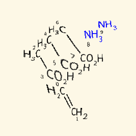 C=C.CC(=O)O.CC(=O)O.CC(=O)O.N.N